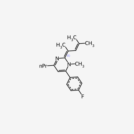 CCCC1=N/C(=C(\C)C=C(C)C)N(C)C(c2ccc(F)cc2)=C1